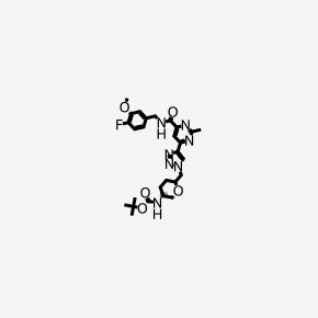 COc1cc(CNC(=O)c2cc(-c3cn(CC4CC[C@@H](NC(=O)OC(C)(C)C)CO4)nn3)nc(C)n2)ccc1F